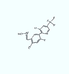 ON=Cc1cc(-c2ncc(C(F)(F)F)cc2Cl)c(F)cc1Cl